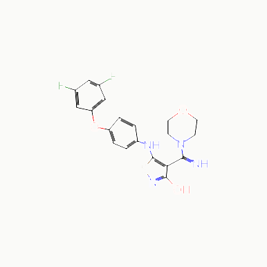 N=C(c1c(O)nsc1Nc1ccc(Oc2cc(F)cc(F)c2)cc1)N1CCOCC1